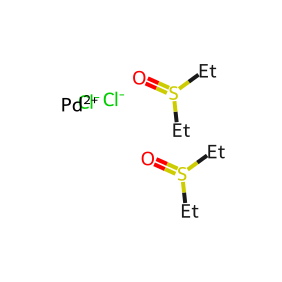 CCS(=O)CC.CCS(=O)CC.[Cl-].[Cl-].[Pd+2]